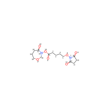 O=C(CCCCON1C(=O)CCC1=O)ON1COCCCC1=O